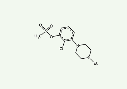 CCN1CCN(c2cccc(OS(C)(=O)=O)c2Cl)CC1